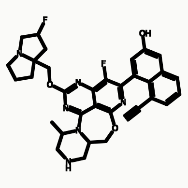 C#Cc1cccc2cc(O)cc(-c3nc4c5c(nc(OCC67CCCN6CC(F)C7)nc5c3F)N3C(C)CNCC3CO4)c12